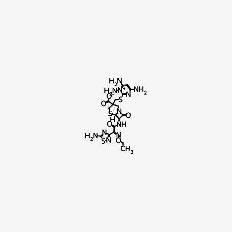 CCON=C(C(=O)NC1C(=O)N2CC(CSc3nc(N)cc(N)[n+]3N)(C(=O)[O-])CS[C@H]12)c1nsc(N)n1